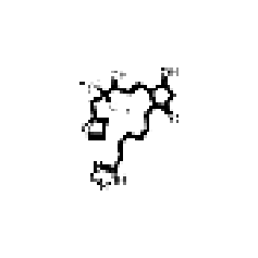 CC(C)(Cc1ccco1)C(O)/C=C/C1C(O)CC(=O)C1C/C=C\CCCc1nnn[nH]1